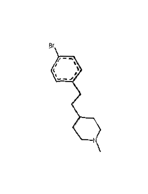 CN1CCC(CCc2ccc(Br)cc2)CC1